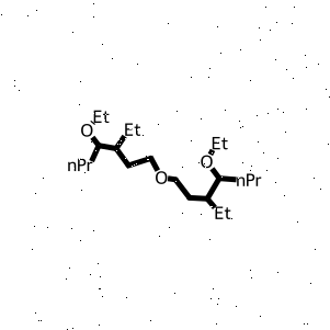 CCCC(OCC)C(CC)CCOCCC(CC)C(CCC)OCC